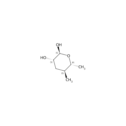 C[C@H]1C[C@H](O)[C@@H](O)O[C@@H]1C